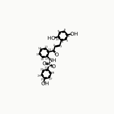 O=C(C=Cc1cc(O)ccc1O)c1ccccc1NS(=O)(=O)c1ccc(O)cc1